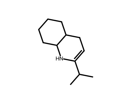 CC(C)C1=CCC2CCCCC2N1